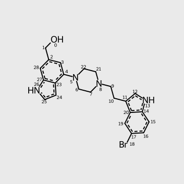 OCc1cc(N2CCN(CCc3c[nH]c4ccc(Br)cc34)CC2)c2cc[nH]c2c1